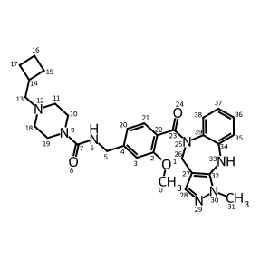 COc1cc(CNC(=O)N2CCN(CC3CCC3)CC2)ccc1C(=O)N1Cc2cnn(C)c2Nc2ccccc21